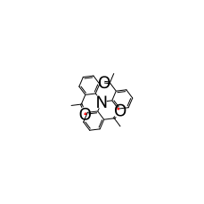 CC(=O)c1ccccc1N(c1ccccc1C(C)=O)c1ccccc1C(C)=O